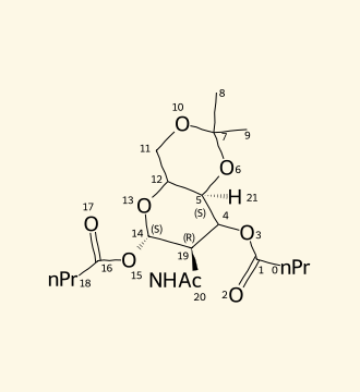 CCCC(=O)OC1[C@@H]2OC(C)(C)OCC2O[C@@H](OC(=O)CCC)[C@@H]1NC(C)=O